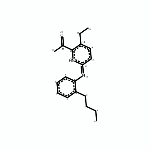 CCCCc1ccccc1N=c1ccc(CC)c(C(C)=O)[nH]1